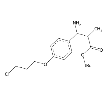 CC(C(=O)OC(C)(C)C)C(N)c1ccc(OCCCCl)cc1